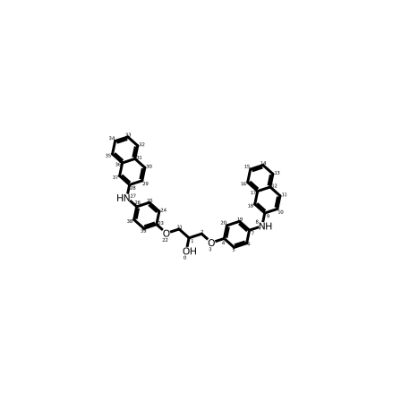 OC(COc1ccc(Nc2ccc3ccccc3c2)cc1)COc1ccc(Nc2ccc3ccccc3c2)cc1